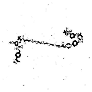 Cc1cnc(Nc2ccc(N3CCN(CC(=O)NCCOCCOCCOCCOCCOCCC(=O)N[C@H](CN4C[C@H](O)C[C@H]4C(=O)NCc4ccc(-c5scnc5C)cc4)C(C)(C)C)CC3)cc2)nc1Nc1cccc(S(=O)(=O)NC(C)(C)C)c1